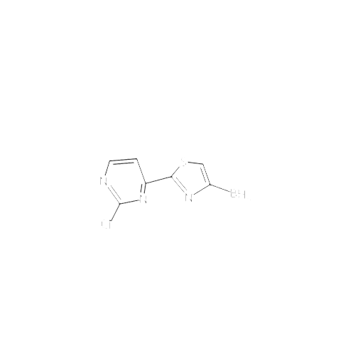 Bc1csc(-c2ccnc(Cl)n2)n1